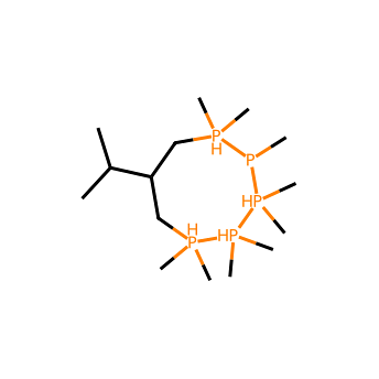 CC(C)C1C[PH](C)(C)P(C)[PH](C)(C)[PH](C)(C)[PH](C)(C)C1